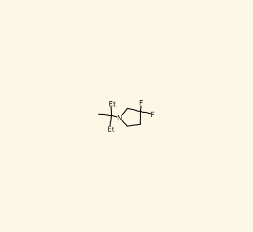 CCC(C)(CC)N1CCC(F)(F)C1